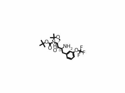 CC(C)(C)OC(=O)N1[C@@H]([C@@H](O)[C@@H](N)Cc2cccc(OC(F)(F)F)c2)COC1(C)C